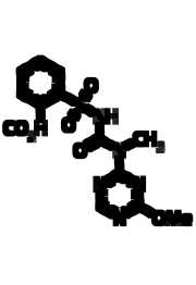 COc1ncnc(N(C)C(=O)NS(=O)(=O)c2ccccc2C(=O)O)n1